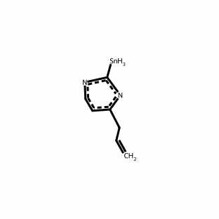 C=CCc1ccn[c]([SnH3])n1